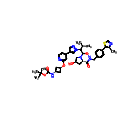 Cc1ncsc1-c1ccc(CNC(=O)[C@@H]2C[C@@H](O)CN2C(=O)C(C(C)C)n2cc(-c3ccnc(O[C@H]4C[C@@H](NC(=O)OC(C)(C)C)C4)c3)cn2)cc1